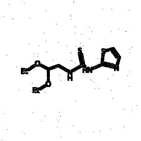 CCOC(CNC(=S)Nc1nccs1)OCC